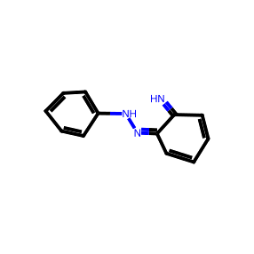 N=C1C=CC=C/C1=N/Nc1ccccc1